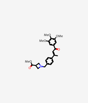 COC(=O)C1CN(Cc2ccc(C(C)=CC(=O)c3cc(OC)c(OC)c(OC)c3)cc2)C1